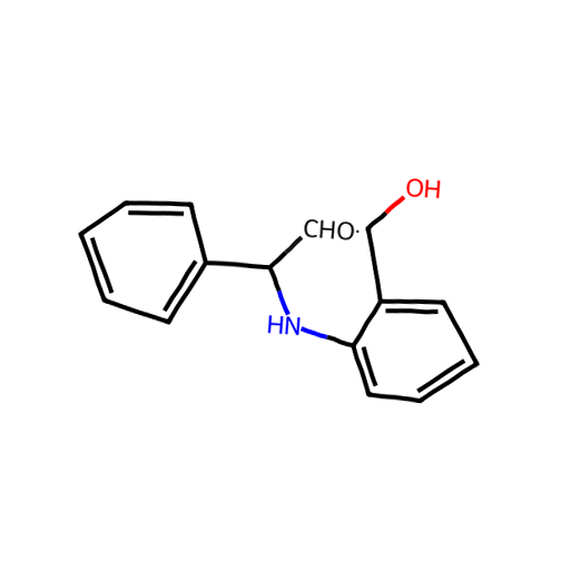 O=[C]C(Nc1ccccc1CO)c1ccccc1